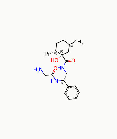 CC(C)[C@@H]1CC[C@@H](C)C[C@@]1(O)C(=O)NC[C@@H](NC(=O)CN)c1ccccc1